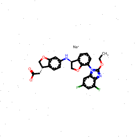 CCOc1nc2c(F)cc(F)cc2n1-c1cccc2c1OC[C@H]2Nc1ccc2c(c1)OC[C@H]2CC(=O)[O-].[Na+]